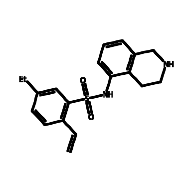 C=Cc1ccc(CC)cc1S(=O)(=O)Nc1cccc2c1CCNC2